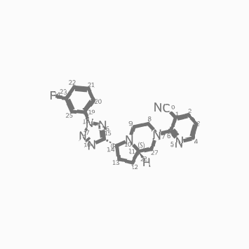 N#Cc1cccnc1N1CCN2[C@@H](CC[C@@H]2c2nnn(-c3cccc(F)c3)n2)C1